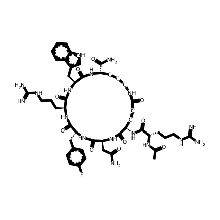 CC(=O)N[C@@H](CCCNC(=N)N)C(=O)N[C@H]1CCC(=O)NCCC[C@@H](C(N)=O)NC(=O)[C@H](Cc2c[nH]c3ccccc23)NC(=O)[C@H](CCCNC(=N)N)NC(=O)[C@@H](Cc2ccc(F)cc2)NC(=O)[C@H](CC(N)=O)NC1=O